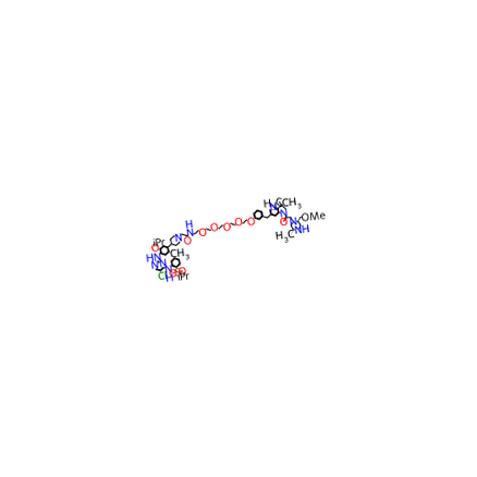 COC[C@H]1CN[C@H](C)CN1CC(=O)N1CC(C)(C)c2ncc(Cc3cccc(OCCOCCOCCOCCOCCNC(=O)CN4CCC(c5cc(OC(C)C)c(Nc6ncc(Cl)c(Nc7ccccc7S(=O)(=O)C(C)C)n6)cc5C)CC4)c3)cc21